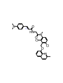 Cc1ccc2cccc(OCc3c(Cl)ccc(N(C)C(=O)CNC(=O)/C=C/c4ccc(N(C)C)cc4)c3Cl)c2n1